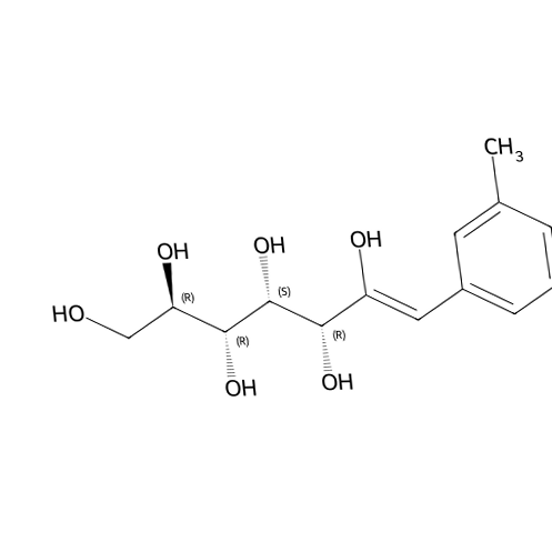 Cc1cccc(C=C(O)[C@H](O)[C@@H](O)[C@H](O)[C@H](O)CO)c1